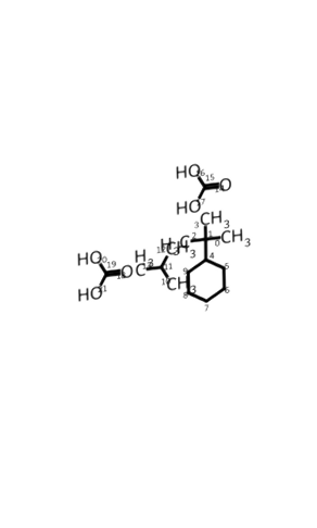 CC(C)(C)C1CCCCC1.CC(C)C.O=C(O)O.O=C(O)O